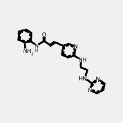 Nc1ccccc1NC(=O)C=Cc1ccc(NCCNc2ncccn2)nc1